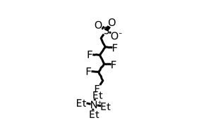 CC[N+](CC)(CC)CC.O=S(=O)([O-])CC(F)C(F)C(F)C(F)CF